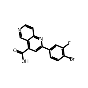 O=C(O)c1cc(-c2ccc(Br)c(F)c2)nc2ccncc12